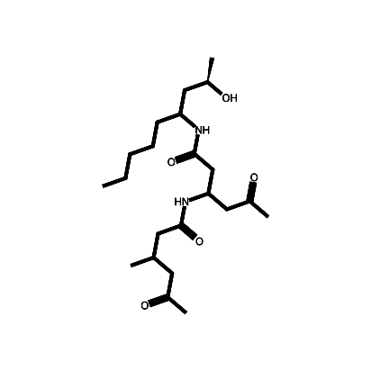 CCCCCC(C[C@@H](C)O)NC(=O)CC(CC(C)=O)NC(=O)CC(C)CC(C)=O